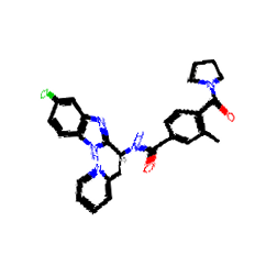 Cc1cc(C(=O)N[C@@H](Cc2ccccn2)c2nc3cc(Cl)ccc3[nH]2)ccc1C(=O)N1CCCC1